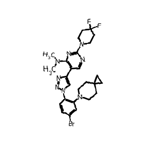 CN(C)c1nc(N2CCC(F)(F)CC2)ncc1-c1cn(-c2ccc(Br)cc2N2CCC3(CC2)CC3)nn1